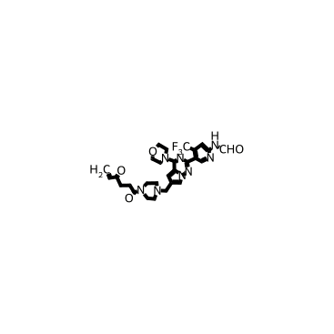 C=CC(=O)CCC(=O)N1CCN(Cc2cc3c(N4CCOCC4)nc(-c4cnc(NC=O)cc4C(F)(F)F)nn3c2)CC1